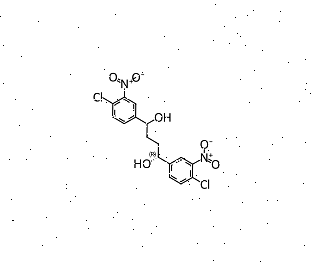 O=[N+]([O-])c1cc(C(O)CC[C@@H](O)c2ccc(Cl)c([N+](=O)[O-])c2)ccc1Cl